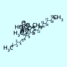 CCCCCCCCCCSC(CCCCCCCCC)C(C)OOC(=O)P(=O)(O)OCCC